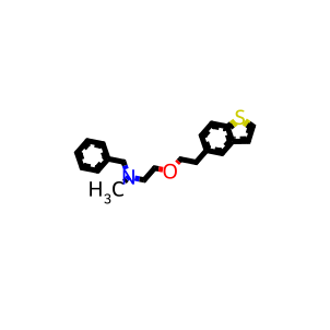 CN(CCOCCc1ccc2sccc2c1)Cc1ccccc1